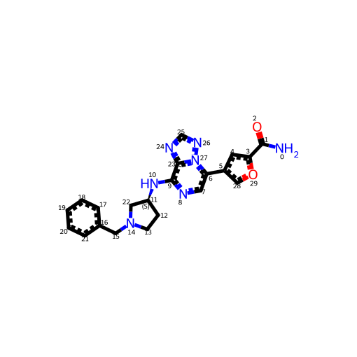 NC(=O)c1cc(-c2cnc(N[C@H]3CCN(Cc4ccccc4)C3)c3ncnn23)co1